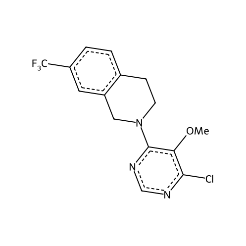 COc1c(Cl)ncnc1N1CCc2ccc(C(F)(F)F)cc2C1